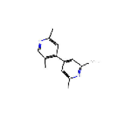 Cc1cc(-c2cc(C)nc(C(=O)O)c2)c(C)cn1